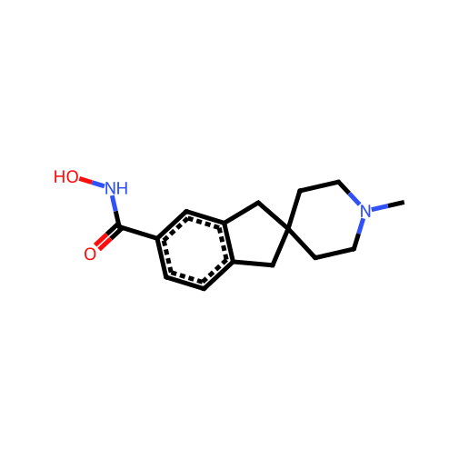 CN1CCC2(CC1)Cc1ccc(C(=O)NO)cc1C2